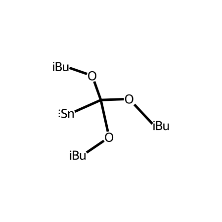 CCC(C)O[C]([Sn])(OC(C)CC)OC(C)CC